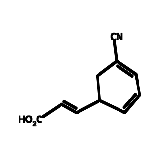 N#CC1=CC=CC(C=CC(=O)O)C1